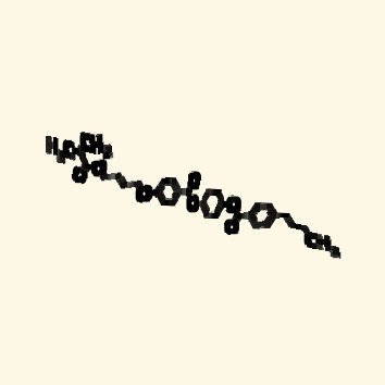 C=C(C)C(=O)OCCCCOc1ccc(C(=O)OC2=CC=C(OC(=O)c3ccc(CCCC)cc3)CC2)cc1